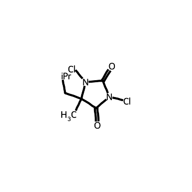 CC(C)CC1(C)C(=O)N(Cl)C(=O)N1Cl